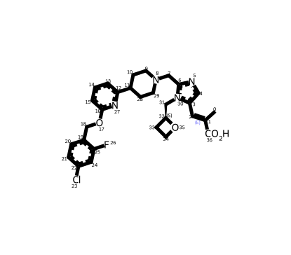 C/C(=C\c1cnc(CN2CCC(c3cccc(OCc4ccc(Cl)cc4F)n3)CC2)n1C[C@@H]1CCO1)C(=O)O